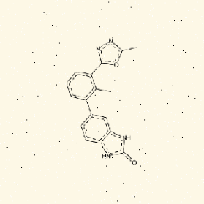 Cc1nnc(-c2cccc(-c3ccc4[nH]c(=O)[nH]c4c3)c2C)o1